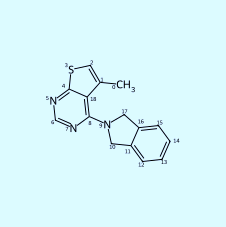 Cc1csc2ncnc(N3Cc4ccccc4C3)c12